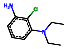 CCN(CC)c1cccc(N)c1Cl